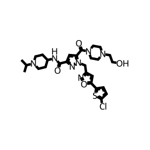 CC(C)N1CCC(NC(=O)c2cc(C(=O)N3CCN(CCO)CC3)n(Cc3cc(-c4ccc(Cl)s4)on3)n2)CC1